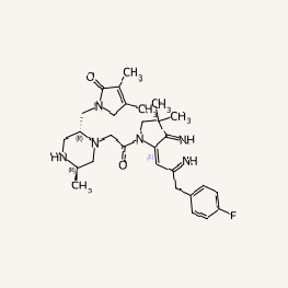 CC1=C(C)C(=O)N(C[C@H]2CN[C@H](C)CN2CC(=O)N2CC(C)(C)C(=N)/C2=C\C(=N)Cc2ccc(F)cc2)C1